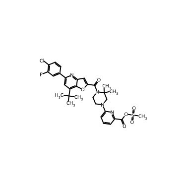 CC(C)(C)c1cc(-c2ccc(Cl)c(F)c2)nc2cc(C(=O)N3CCN(c4cccc(C(=O)OS(C)(=O)=O)n4)CC3(C)C)oc12